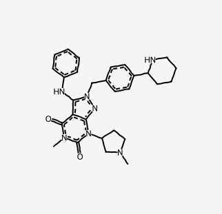 CN1CCC(n2c(=O)n(C)c(=O)c3c(Nc4ccccc4)n(Cc4ccc(C5CCCCN5)cc4)nc32)C1